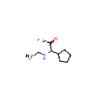 CCN[C@H](C(C)=O)C1CCCC1